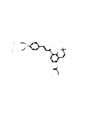 CCC(=O)Oc1ccc(C(=O)C=Cc2ccc(N(CC)CC)cc2)c2c1C=CC(C)(C)O2